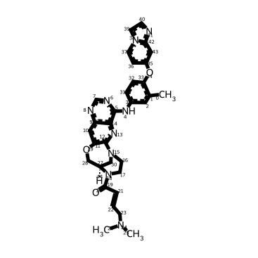 Cc1cc(Nc2ncnc3cc4c(nc23)N2CCN(C(=O)/C=C/CN(C)C)[C@@H](CO4)C2)ccc1Oc1ccn2ccnc2c1